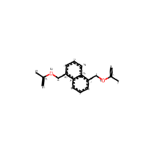 C=C(C)OCc1cccc2c(COC(=C)C)cccc12